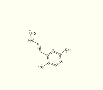 CC(=O)Oc1ccc(OC(C)=O)c(/C=C/NC=O)c1